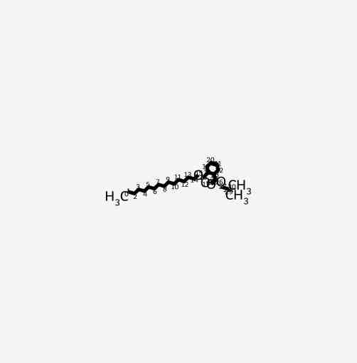 CCCCCCCCCCCCCCCOC(=O)C1CC=CCC1C(=O)OCC(C)C